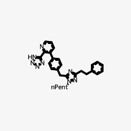 CCCCCn1nc(CCc2ccccc2)nc1Cc1ccc(-c2cccnc2-c2nnn[nH]2)cc1